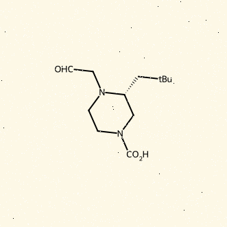 CC(C)(C)C[C@@H]1CN(C(=O)O)CCN1CC=O